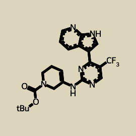 CC(C)(C)OC(=O)N1CCC=C(Nc2ncc(C(F)(F)F)c(-c3c[nH]c4ncccc34)n2)C1